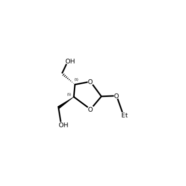 CCOC1O[C@@H](CO)[C@H](CO)O1